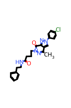 Cc1nn(CCCC(=O)NCCc2ccccc2)c(=O)c2nn(-c3ccc(Cl)cc3)cc12